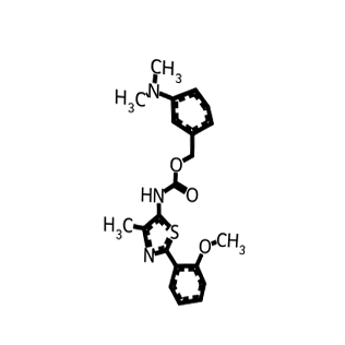 COc1ccccc1-c1nc(C)c(NC(=O)OCc2cccc(N(C)C)c2)s1